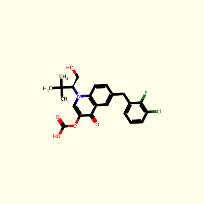 CC(C)(C)[C@@H](CO)n1cc(OC(=O)O)c(=O)c2cc(Cc3cccc(Cl)c3F)ccc21